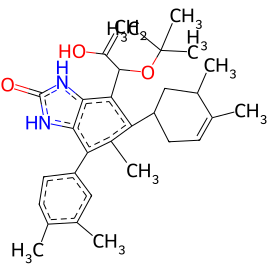 C=C(O)C(OC(C)(C)C)c1c(C2CC=C(C)C(C)C2)c(C)c(-c2ccc(C)c(C)c2)c2[nH]c(=O)[nH]c12